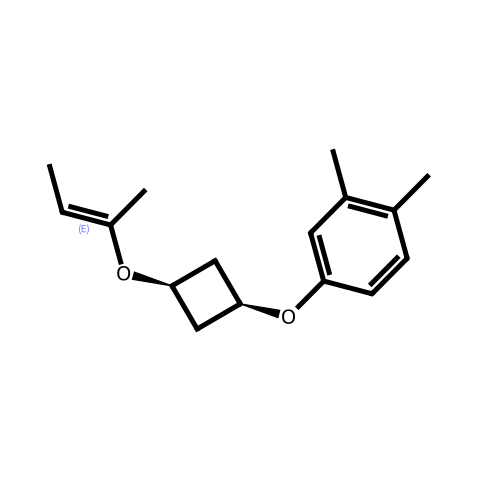 C/C=C(\C)O[C@H]1C[C@@H](Oc2ccc(C)c(C)c2)C1